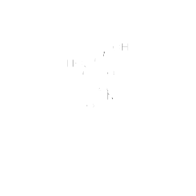 Cc1ccc2c(=O)n([C@H]3C[C@@H](O)[C@@H](CO)O3)ccc2c1